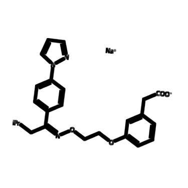 CC(C)CC(=NOCCOc1cccc(CC(=O)[O-])c1)c1ccc(-n2cccn2)cc1.[Na+]